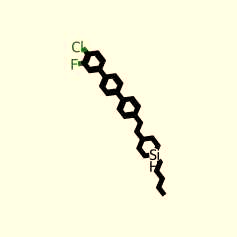 CCCCC[SiH]1CCC(CCc2ccc(-c3ccc(-c4ccc(Cl)c(F)c4)cc3)cc2)CC1